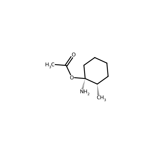 CC(=O)O[C@@]1(N)CCCC[C@@H]1C